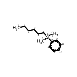 CCCCC[CH][Si](C)(C)c1ccccc1